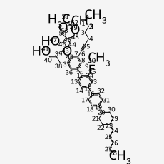 CCCCCC#Cc1c(CC)c(-c2ccc(-c3ccc(C4CCC(CCCCC)CC4)cc3)cc2F)cc(CCCO)c1OCC1(CO)COC(C)(C)OC1